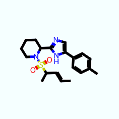 CC=CC(C)S(=O)(=O)N1CCCCC1c1ncc(-c2ccc(C)cc2)[nH]1